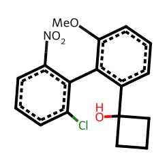 COc1cccc(C2(O)CCC2)c1-c1c(Cl)cccc1[N+](=O)[O-]